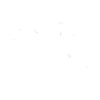 COC(=O)Nc1cccc(NC(=O)OC)c1B(O)O